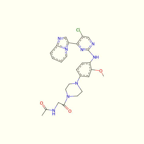 COc1cc(N2CCN(C(=O)CNC(C)=O)CC2)ccc1Nc1ncc(Cl)c(-c2cnc3ccccn23)n1